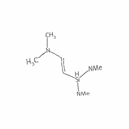 CN[SiH](C=CN(C)C)NC